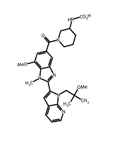 COc1cc(C(=O)N2CCCC(NC(=O)O)C2)cc2nc(-c3cc4cccnc4n3CC(C)(C)OC)n(C)c12